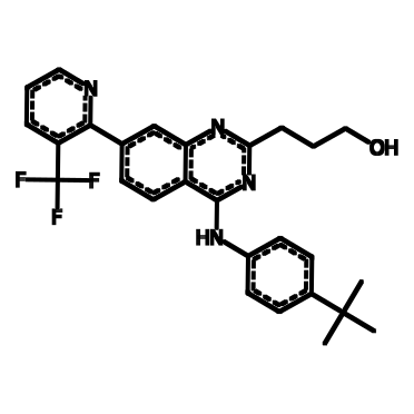 CC(C)(C)c1ccc(Nc2nc(CCCO)nc3cc(-c4ncccc4C(F)(F)F)ccc23)cc1